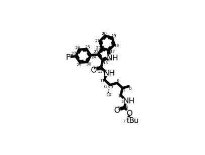 CC(CNC(=O)OC(C)(C)C)C[C@H](C)CNC(=O)c1[nH]c2ccccc2c1-c1ccc(F)cc1